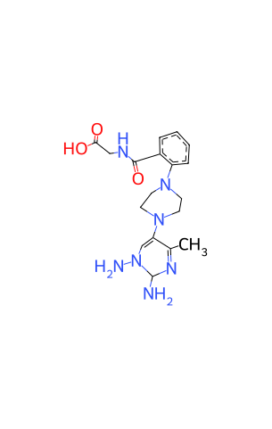 CC1=NC(N)N(N)C=C1N1CCN(c2ccccc2C(=O)NCC(=O)O)CC1